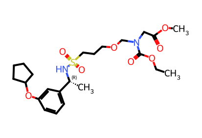 CCOC(=O)N(COCCCS(=O)(=O)N[C@H](C)c1cccc(OC2CCCC2)c1)CC(=O)OC